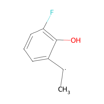 C[CH]c1cccc(F)c1O